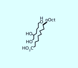 CCCCCCCCC=CCCCCCCCC(=O)O.OCCCCC(O)CO